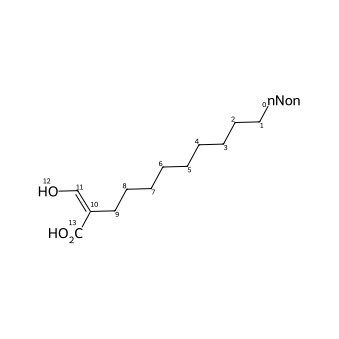 CCCCCCCCCCCCCCCCCCC(=CO)C(=O)O